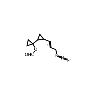 [N-]=[N+]=NC/C=C/C1CC1C1(OC=O)CC1